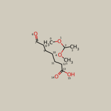 COC(C)OC.O=CCCCCCC(=O)O